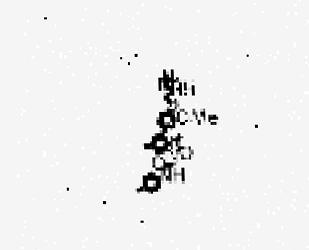 COc1cc(-c2cc(C)cc3c2n(C)c(=O)n3CC(=O)Nc2ccc(C)cc2)ccc1OCc1nnc[nH]1